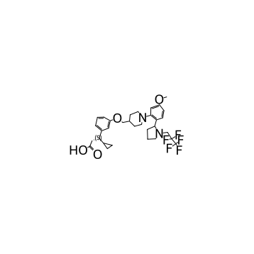 COc1ccc(C2CCCN2CC(F)(F)C(F)(F)F)c(N2CCC(COc3cccc([C@@H](CC(=O)O)C4CC4)c3)CC2)c1